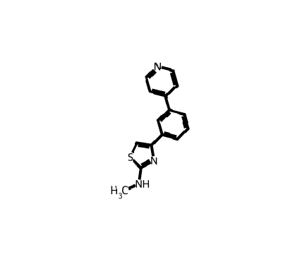 CNc1nc(-c2cccc(-c3ccncc3)c2)cs1